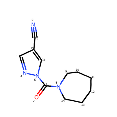 N#Cc1cnn(C(=O)N2CCCCCC2)c1